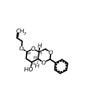 C=CCO[C@@H]1C[C@H](O)[C@@H]2OC(c3ccccc3)OC[C@H]2O1